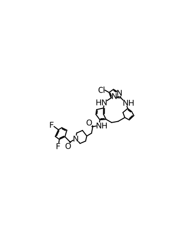 O=C(CC1CCN(C(=O)c2ccc(F)cc2F)CC1)Nc1ccc2cc1CCC1C=CC=C(C1)Nc1ncc(Cl)c(n1)N2